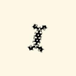 Fc1c(F)c(-c2c(F)c(F)c(-c3nc(-c4ccco4)nc(-c4ccco4)n3)c(F)c2F)c(F)c(F)c1-c1nc(-c2ccco2)nc(-c2ccco2)n1